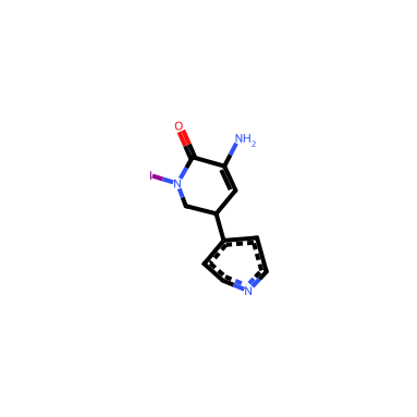 NC1=CC(c2ccncc2)CN(I)C1=O